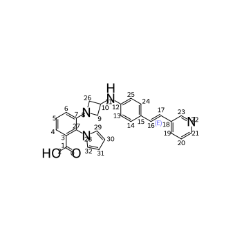 O=C(O)c1cccc(N2CC(Nc3ccc(/C=C/c4cccnc4)cc3)C2)c1-n1cccc1